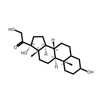 C[C@]12CCC(O)CC1CC[C@@H]1[C@@H]2CC[C@@]2(C)[C@H]1CC[C@]2(O)C(=O)CO